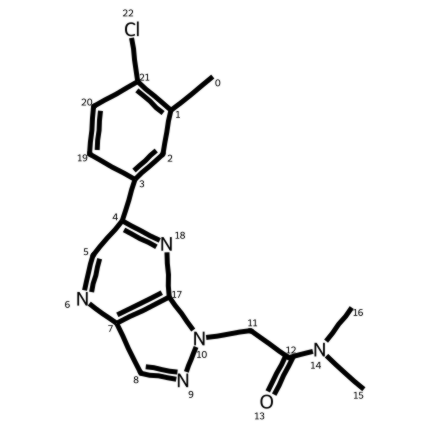 Cc1cc(-c2cnc3cnn(CC(=O)N(C)C)c3n2)ccc1Cl